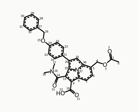 CC(=O)OCc1ccc2c(C(=O)O)c(C(=O)N(C)C)c3c(-c4ccc(OCc5ccccc5)cc4)cc1n23